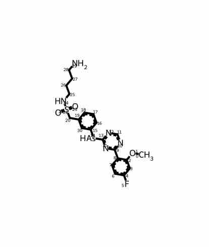 COc1cc(F)ccc1-c1ncnc([AsH]c2cccc(CS(=O)(=O)NCCCCN)c2)n1